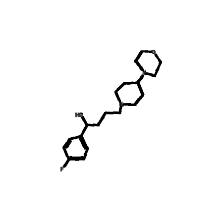 OC(CCCN1CCC(N2CCOCC2)CC1)c1ccc(F)cc1